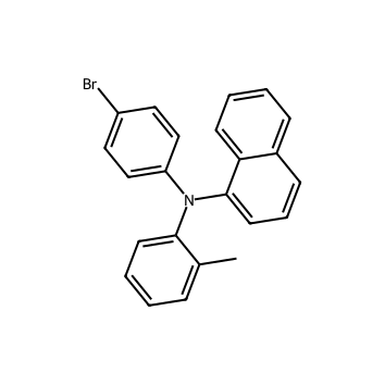 Cc1ccccc1N(c1ccc(Br)cc1)c1cccc2ccccc12